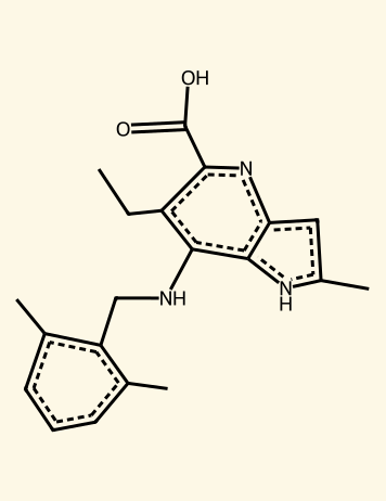 CCc1c(C(=O)O)nc2cc(C)[nH]c2c1NCc1c(C)cccc1C